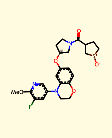 COc1ncc(N2CCOc3ccc(O[C@H]4CCN(C(=O)C5CC[S+]([O-])C5)C4)cc32)cc1F